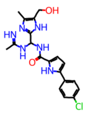 CC(=N)NC(NC(=O)c1ccc(-c2ccc(Cl)cc2)[nH]1)c1nc(C)c(CO)[nH]1